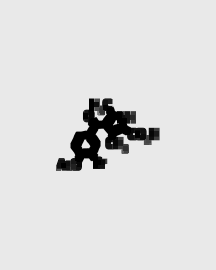 CC(=O)Oc1ccc(C(=O)c2c(C)[nH]c(C(=O)O)c2C)cc1Br